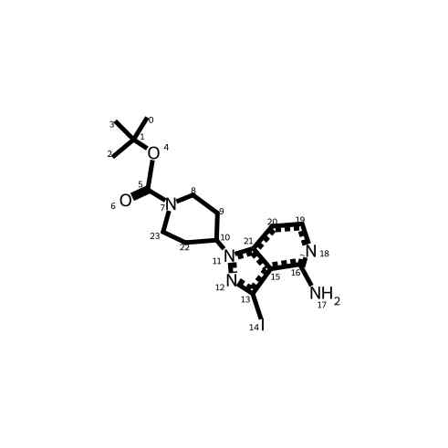 CC(C)(C)OC(=O)N1CCC(n2nc(I)c3c(N)nccc32)CC1